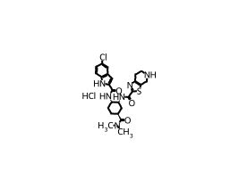 CN(C)C(=O)[C@H]1CC[C@H](NC(=O)c2cc3cc(Cl)ccc3[nH]2)[C@H](NC(=O)c2nc3c(s2)CNCC3)C1.Cl